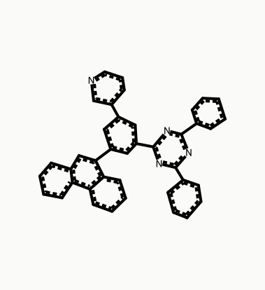 c1ccc(-c2nc(-c3ccccc3)nc(-c3cc(-c4cccnc4)cc(-c4cc5ccccc5c5ccccc45)c3)n2)cc1